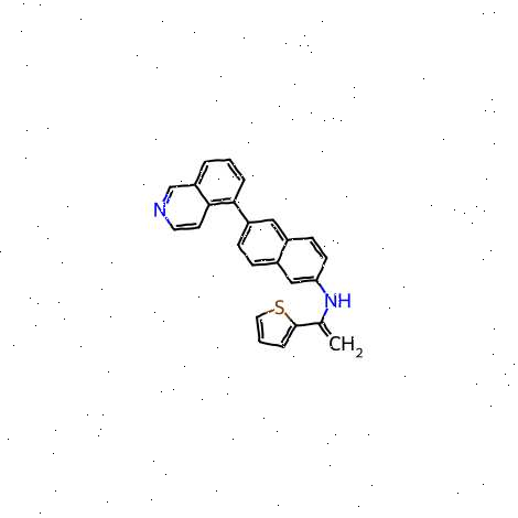 C=C(Nc1ccc2cc(-c3cccc4cnccc34)ccc2c1)c1cccs1